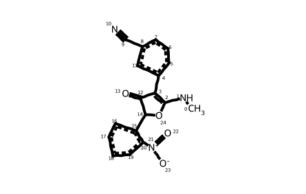 CNC1=C(c2cccc(C#N)c2)C(=O)C(c2ccccc2[N+](=O)[O-])O1